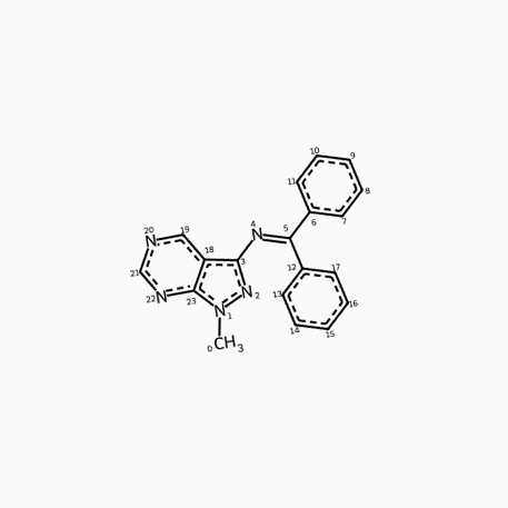 Cn1nc(N=C(c2ccccc2)c2ccccc2)c2cncnc21